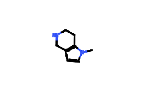 Cn1[c]cc2c1CCNC2